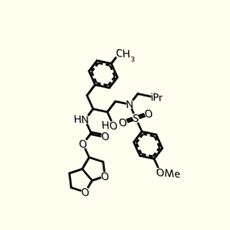 COc1ccc(S(=O)(=O)N(CC(C)C)CC(O)C(Cc2ccc(C)cc2)NC(=O)OC2COC3OCCC23)cc1